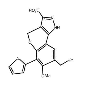 COc1c(CC(C)C)cc2c(c1-c1cccs1)OCc1c(C(=O)O)n[nH]c1-2